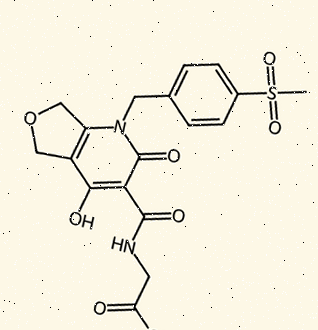 CS(=O)(=O)c1ccc(Cn2c3c(c(O)c(C(=O)NCC(=O)O)c2=O)COC3)cc1